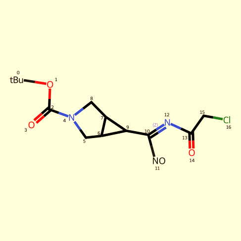 CC(C)(C)OC(=O)N1CC2C(C1)C2/C(N=O)=N/C(=O)CCl